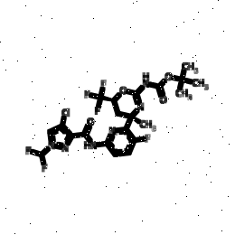 CC(C)(C)OC(=O)NC1=N[C@](C)(c2nc(NC(=O)c3nn(C(F)F)cc3Cl)ccc2F)C[C@@H](C(F)(F)F)O1